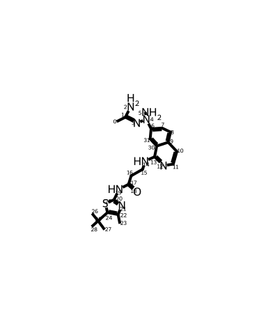 C/C(N)=N/N(N)c1ccc2ccnc(NCCC(=O)Nc3nc(C)c(C(C)(C)C)s3)c2c1